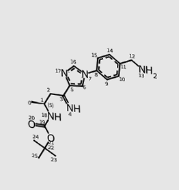 C[C@@H](CC(=N)c1cn(-c2ccc(CN)cc2)cn1)NC(=O)OC(C)(C)C